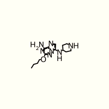 CCCCOc1nc(N)c2ncc(NC3CCNCC3)n2n1